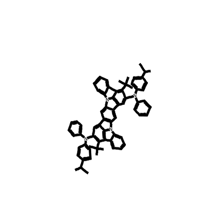 CC(C)c1ccc(N(c2ccccc2)c2cc3c4cc5c(cc4n4c6ccccc6c(c2C(C)(C)C)c34)c2cc(N(c3ccccc3)c3ccc(C(C)C)cc3)c(C(C)(C)C)c3c4ccccc4n5c23)cc1